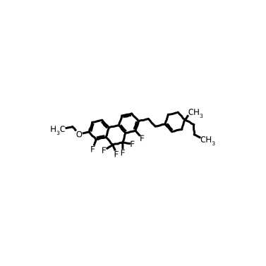 CCCC1(C)CC=C(CCc2ccc3c(c2F)C(F)(F)C(F)(F)c2c-3ccc(OCC)c2F)CC1